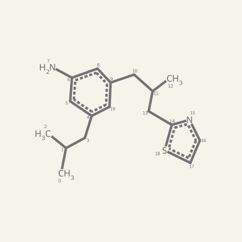 CC(C)Cc1cc(N)cc(CC(C)Cc2nccs2)c1